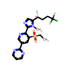 CCS(=O)(=O)c1cc(-c2ncccn2)cnc1-c1ncc([C@H](F)CCC(F)(F)F)n1C